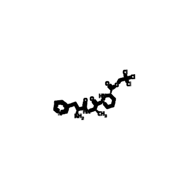 C[C@H](NC(=O)[C@@H](N)Cc1cccnc1)C(=O)N1CCC[C@@H](C(=O)OCC(Cl)(Cl)Cl)N1